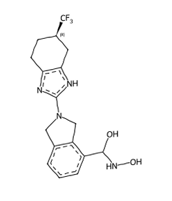 ONC(O)c1cccc2c1CN(c1nc3c([nH]1)C[C@H](C(F)(F)F)CC3)C2